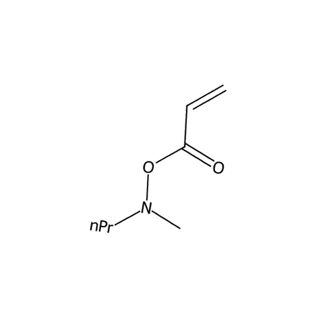 C=CC(=O)ON(C)CCC